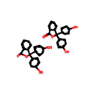 O=C1OC(c2ccc(O)cc2)(c2ccc(O)cc2)c2ccccc21.O=C1OC(c2ccc(O)cc2)(c2ccc(O)cc2)c2ccccc21